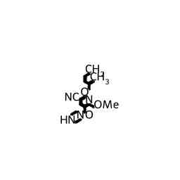 C=C/C=C\C(=C/C)COc1nc(COC)c(C(=O)N2CCNCC2)cc1C#N